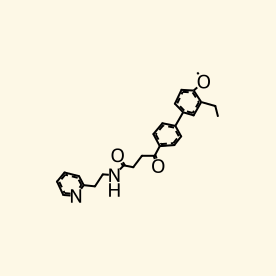 CCc1cc(-c2ccc(C(=O)CCC(=O)NCCc3ccccn3)cc2)ccc1OC